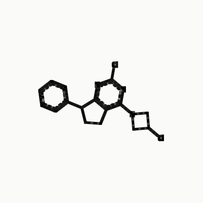 Clc1nc2c(c(N3CC(Cl)C3)n1)CCC2c1ccccc1